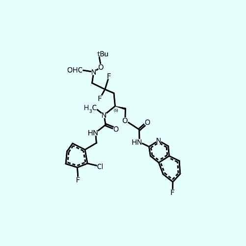 CN(C(=O)NCc1cccc(F)c1Cl)[C@H](COC(=O)Nc1cc2cc(F)ccc2cn1)CC(F)(F)CN(C=O)OC(C)(C)C